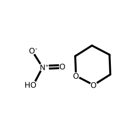 C1CCOOC1.O=[N+]([O-])O